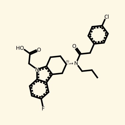 CCCN(C(=O)Cc1ccc(Cl)cc1)[C@H]1CCc2c(c3cc(F)ccc3n2CC(=O)O)C1